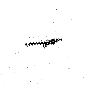 CCCCCCCCCCCCCC(=O)C(O)(CCC)Cc1ccc(CCO)cc1